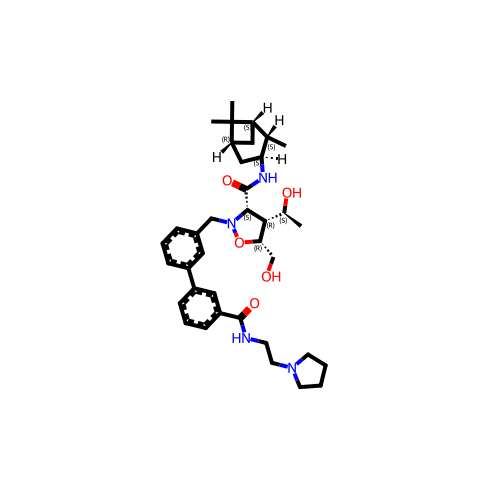 C[C@@H]1[C@@H](NC(=O)[C@@H]2[C@H]([C@H](C)O)[C@H](CO)ON2Cc2cccc(-c3cccc(C(=O)NCCN4CCCC4)c3)c2)C[C@H]2C[C@@H]1C2(C)C